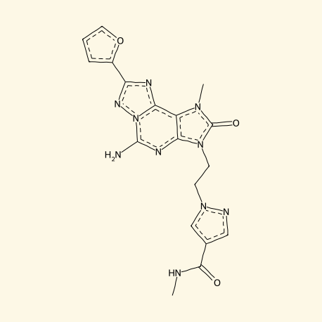 CNC(=O)c1cnn(CCn2c(=O)n(C)c3c2nc(N)n2nc(-c4ccco4)nc32)c1